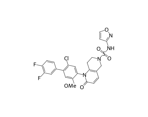 COc1cc(-c2ccc(F)c(F)c2)c(Cl)cc1-n1c2c(ccc1=O)CN(S(=O)(=O)Nc1ccon1)CC2